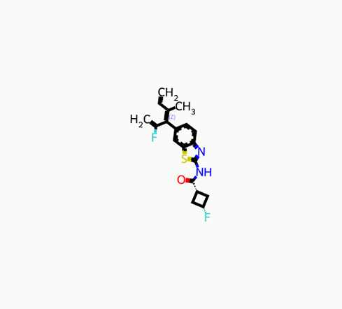 C=C/C(C)=C(\C(=C)F)c1ccc2nc(NC(=O)[C@H]3C[C@@H](F)C3)sc2c1